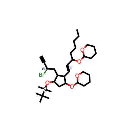 C#C[C@H](Br)CC1C(O[Si](C)(C)C(C)(C)C)CC(OC2CCCCO2)C1/C=C/C(CCCCC)OC1CCCCO1